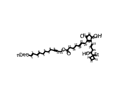 CCCCCCCCCCCCCCCCCCC#CCOC(=O)CCCC=CC[C@@H]1[C@@H](C=CC[C@H](O)C2(CC)CCC2)[C@H](O)C[C@H]1Cl